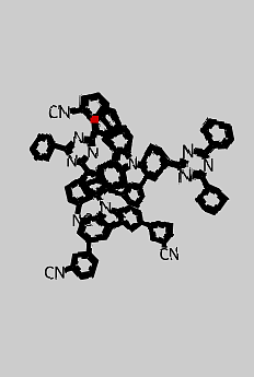 [C-]#[N+]c1cccc(-c2ccc3c(c2)c2cc(-c4cccc(C#N)c4)ccc2n3-c2ccc(-c3nc(-c4ccccc4)nc(-c4ccccc4)n3)cc2-c2cccc(-c3cc(-c4nc(-c5ccccc5)nc(-c5ccccc5)n4)ccc3-n3c4ccc(-c5cccc([N+]#[C-])c5)cc4c4cc(-c5cccc([N+]#[C-])c5)ccc43)c2)c1